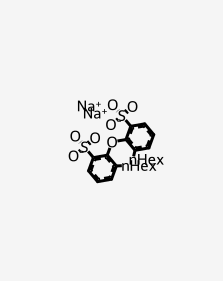 CCCCCCc1cccc(S(=O)(=O)[O-])c1Oc1c(CCCCCC)cccc1S(=O)(=O)[O-].[Na+].[Na+]